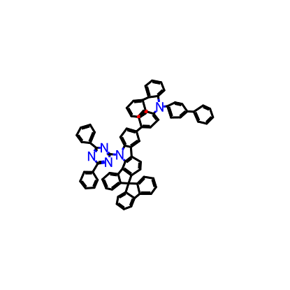 c1ccc(-c2ccc(N(c3ccc(-c4ccc5c(c4)c4ccc6c(c4n5-c4nc(-c5ccccc5)nc(-c5ccccc5)n4)-c4ccccc4C64c5ccccc5-c5ccccc54)cc3)c3ccccc3-c3ccccc3)cc2)cc1